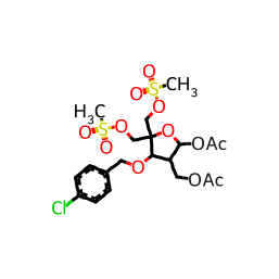 CC(=O)OCC1C(OC(C)=O)OC(COS(C)(=O)=O)(COS(C)(=O)=O)C1OCc1ccc(Cl)cc1